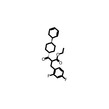 CCOC(=O)C(Cc1ccc(F)cc1F)C(=O)[C@H]1CC[C@H](C2C=CC=CC2)CC1